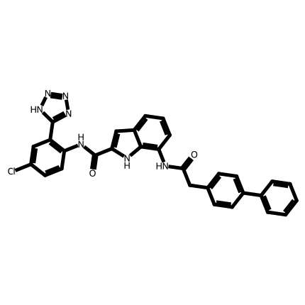 O=C(Cc1ccc(-c2ccccc2)cc1)Nc1cccc2cc(C(=O)Nc3ccc(Cl)cc3-c3nnn[nH]3)[nH]c12